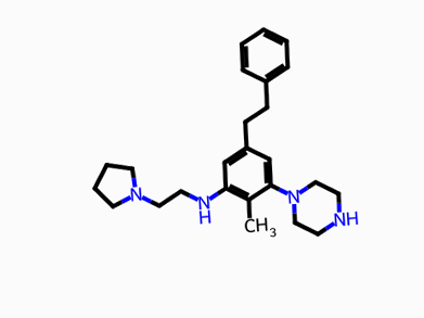 Cc1c(NCCN2CCCC2)cc(CCc2ccccc2)cc1N1CCNCC1